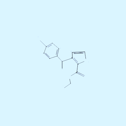 C=C(OCC(C)(C)C)c1occc1C(O)c1ccc(F)cc1